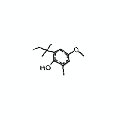 CCC(C)(C)c1cc(OC)cc(C)c1O